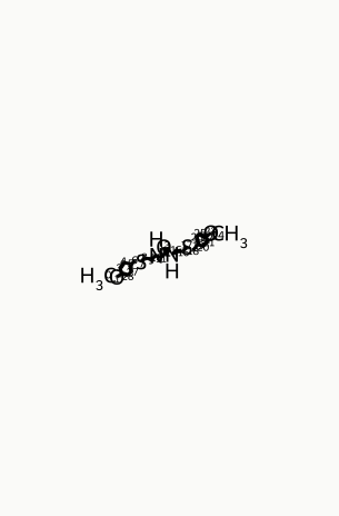 COc1ccc(CSCCNCC(=O)NCCSCc2ccc(OC)cc2)cc1